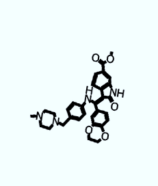 COC(=O)c1ccc2c(c1)NC(=O)C2=C(Nc1ccc(CN2CCN(C)CC2)cc1)c1ccc2c(c1)OCCO2